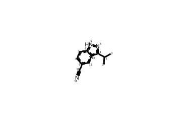 CC(C)c1n[nH]c2ccc(C#N)cc12